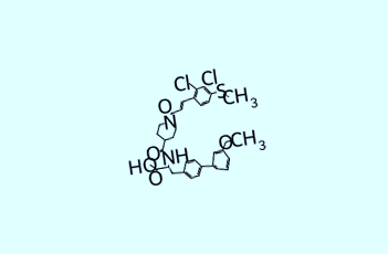 COc1cccc(-c2ccc(C[C@H](NC(=O)C3CCN(C(=O)/C=C/c4ccc(SC)c(Cl)c4Cl)CC3)C(=O)O)cc2)c1